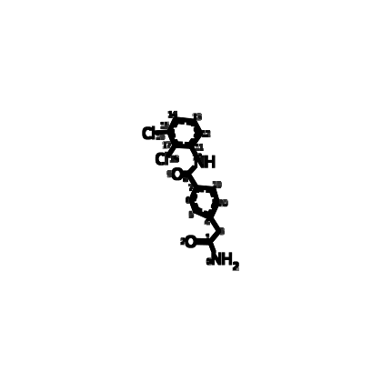 NC(=O)Cc1ccc(C(=O)Nc2cccc(Cl)c2Cl)cc1